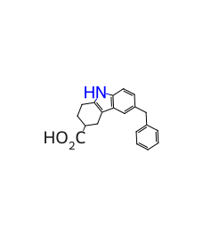 O=C(O)C1CCc2[nH]c3ccc(Cc4ccccc4)cc3c2C1